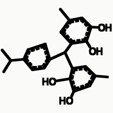 Cc1cc(O)c(O)c(C(c2ccc(C(C)C)cc2)c2cc(C)cc(O)c2O)c1